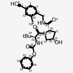 C#Cc1ccc(CNC(=O)[C@@H]2C[C@@H](O)CN2C(=O)[C@@H](NC(=O)Oc2ccccc2)C(C)(C)C)c(F)c1